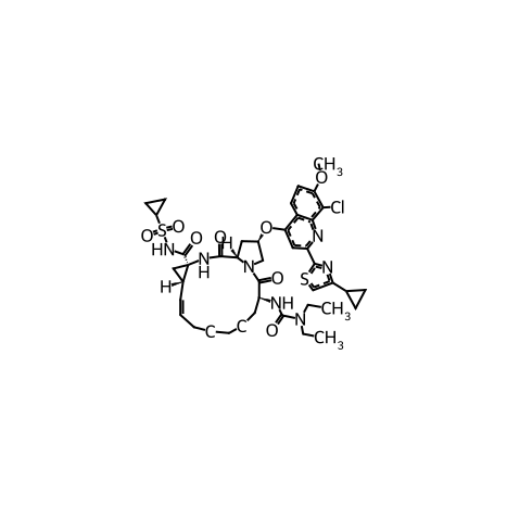 CCN(CC)C(=O)N[C@H]1CCCCC/C=C\[C@@H]2C[C@@]2(C(=O)NS(=O)(=O)C2CC2)NC(=O)[C@@H]2C[C@@H](Oc3cc(-c4nc(C5CC5)cs4)nc4c(Cl)c(OC)ccc34)CN2C1=O